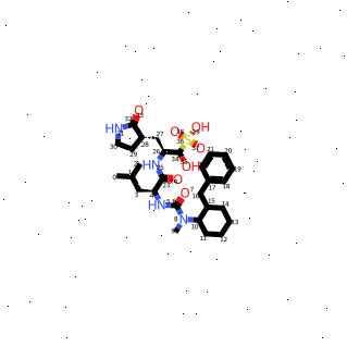 CC(C)C[C@H](NC(=O)N(C)C1CCCCC1Cc1ccccc1)C(=O)N[C@@H](C[C@@H]1CCNC1=O)C(O)S(=O)(=O)O